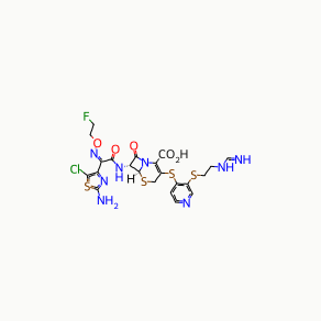 N=CNCCSc1cnccc1SC1=C(C(=O)O)N2C(=O)[C@@H](NC(=O)/C(=N\OCCF)c3nc(N)sc3Cl)[C@@H]2SC1